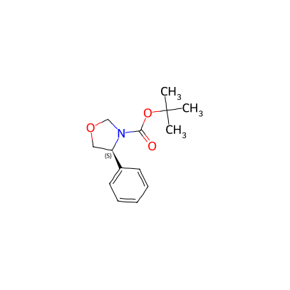 CC(C)(C)OC(=O)N1COC[C@@H]1c1ccccc1